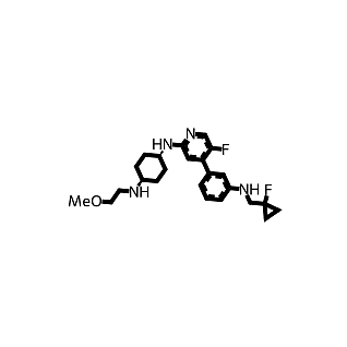 COCCN[C@H]1CC[C@H](Nc2cc(-c3cccc(NCC4(F)CC4)c3)c(F)cn2)CC1